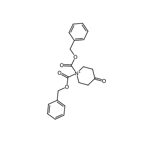 O=C1CC[N+](C(=O)OCc2ccccc2)(C(=O)OCc2ccccc2)CC1